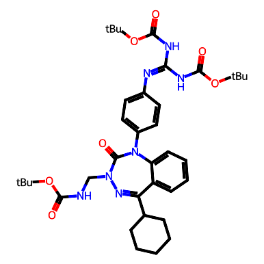 CC(C)(C)OC(=O)NCN1N=C(C2CCCCC2)c2ccccc2N(c2ccc(N=C(NC(=O)OC(C)(C)C)NC(=O)OC(C)(C)C)cc2)C1=O